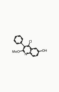 COc1nc2ccc(O)cc2c(Cl)c1-c1ccccc1